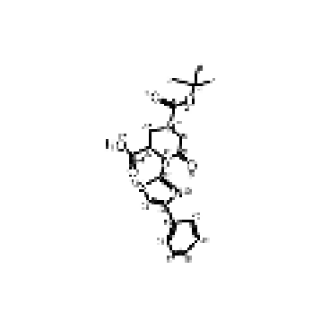 CC(C)(C)OC(=O)N1CC(=O)N(c2nc(-c3ccccc3)cs2)C(C(=O)O)C1